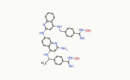 CC(Nc1cc(N)nc2cc(Nc3cc(NCc4ccc(C(=N)NO)cc4)c4ccccc4n3)ccc12)c1ccc(C(=N)NO)cc1